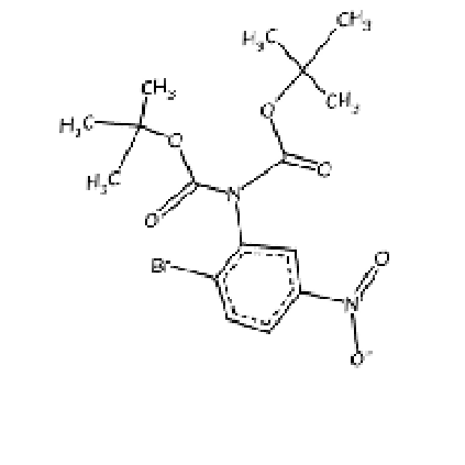 CC(C)(C)OC(=O)N(C(=O)OC(C)(C)C)c1cc([N+](=O)[O-])ccc1Br